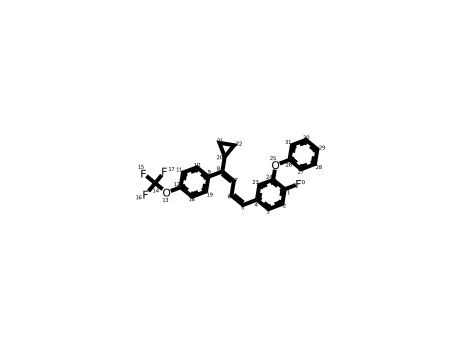 Fc1ccc(/C=C\C=C(/c2ccc(OC(F)(F)F)cc2)C2CC2)cc1Oc1ccccc1